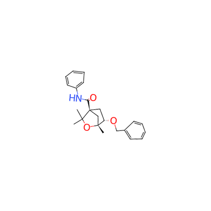 CC1(C)O[C@]2(C)C[C@@]1(C(=O)Nc1ccccc1)C[C@@H]2OCc1ccccc1